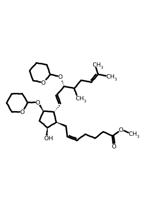 COC(=O)CCC/C=C\C[C@@H]1[C@@H](/C=C/[C@H](OC2CCCCO2)C(C)CC=C(C)C)[C@H](OC2CCCCO2)C[C@@H]1O